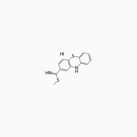 CSC(=N)c1ccc2c(c1)Nc1ccccc1S2.I